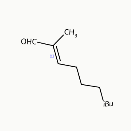 CCC(C)CCC/C=C(\C)C=O